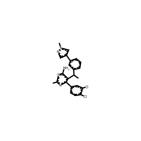 Cc1nc(N)c(C(C)c2cccc(-c3cnn(C)c3)c2)c(-c2ccc(Cl)c(Cl)c2)n1